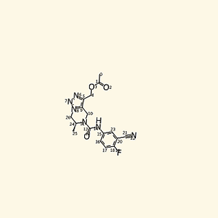 CC(=O)OCc1nnn2c1CN(C(=O)Nc1ccc(F)c(C#N)c1)[C@@H](C)C2